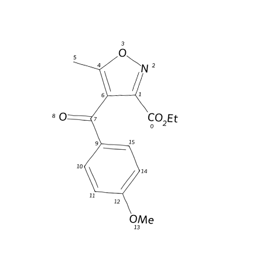 CCOC(=O)c1noc(C)c1C(=O)c1ccc(OC)cc1